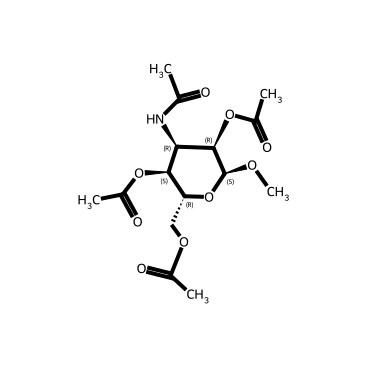 CO[C@H]1O[C@H](COC(C)=O)[C@@H](OC(C)=O)[C@@H](NC(C)=O)[C@H]1OC(C)=O